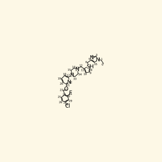 CCn1cnc(C[SH]2C=CC=C2CN2CCN(c3cccc(OCc4ccc(Cl)cc4F)n3)CC2)c1